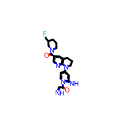 N=CC(=O)n1ccc(N2CCCc3cc(C(=O)N4CCCC(CF)C4)cnc32)cc1=N